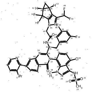 CC(C)c1cccnc1-c1ccc2c(=O)n(-c3ccc(Cl)c4c(NS(C)(=O)=O)nn(C)c34)c([C@H](Cc3cc(F)cc(F)c3)NC(=O)Cn3nc(C(F)F)c4c3C(F)(F)[C@@H]3C[C@H]43)nc2c1